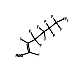 CO/C(F)=C(\F)C(F)(F)C(F)(F)C(F)(F)C(F)(F)C(F)(F)F